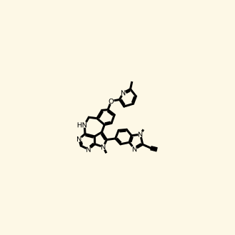 C#Cc1nc2cc(-c3c4c5c(ncnc5n3C)NCc3cc(Oc5cccc(C)n5)ccc3-4)ccc2n1C